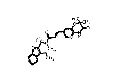 CCc1c([C@@H](C)N(C)C(=O)/C=C/c2cnc3c(c2)OC(C)(C)C(=O)N3)oc2ccccc12